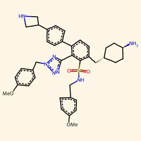 COc1ccc(CNS(=O)(=O)c2c(C[C@H]3CC[C@H](N)CC3)ccc(-c3ccc(C4CNC4)cc3)c2-c2nnn(Cc3ccc(OC)cc3)n2)cc1